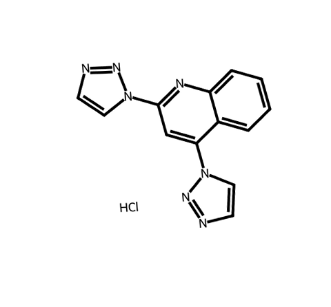 Cl.c1ccc2c(-n3ccnn3)cc(-n3ccnn3)nc2c1